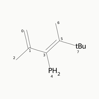 C=C(C)/C(P)=C(\C)C(C)(C)C